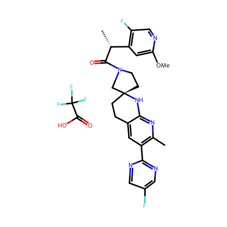 COc1cc([C@@H](C)C(=O)N2CC[C@@]3(CCc4cc(-c5ncc(F)cn5)c(C)nc4N3)C2)c(F)cn1.O=C(O)C(F)(F)F